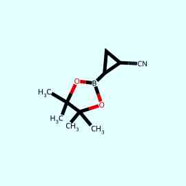 CC1(C)OB(C2CC2C#N)OC1(C)C